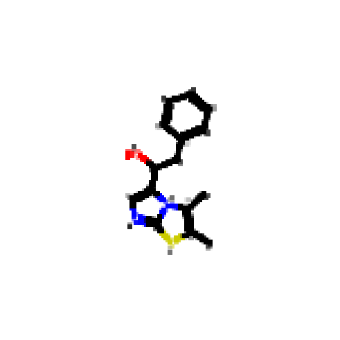 Cc1sc2ncc(C(O)Cc3ccccc3)n2c1C